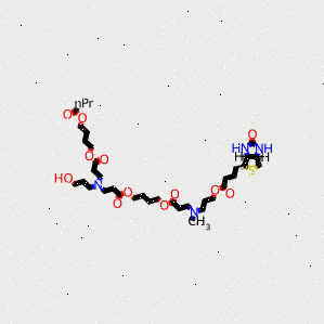 CCCC(=O)OCCCCOC(=O)CCN(CCCO)CCC(=O)OCCCCOC(=O)CCN(C)CCCOC(=O)CCC[C@@H]1SC[C@@H]2NC(=O)N[C@@H]21